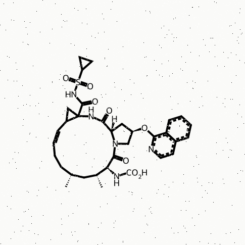 C[C@@H]1CC/C=C\C2CC2(C(=O)NS(=O)(=O)C2CC2)NC(=O)[C@@H]2C[C@@H](Oc3nccc4ccccc34)CN2C(=O)[C@@H](NC(=O)O)[C@H](C)C1